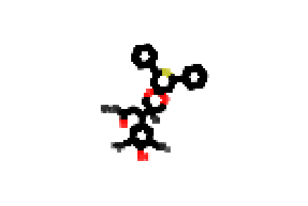 CCC1(C(CC(=O)OC)c2cc(C)c(O)c(C)c2)COC2(CC(c3ccccc3)SC(c3ccccc3)C2)OC1